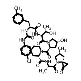 Cc1cccc(C[C@H](NC(=O)Nc2ccc(Cl)cc2)C(=O)N[C@H](C(=O)N2C[C@H](O)C[C@H]2C(=O)N2CCCC[C@H]2C(=O)N[C@@H](C)C(=O)N2C[C@H](C)C[C@@]23CC3=O)[C@H](C)O)c1